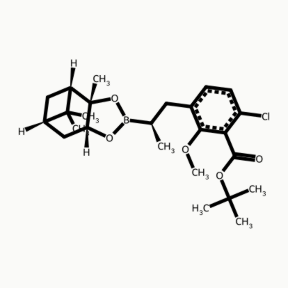 COc1c(C[C@@H](C)B2O[C@@H]3C[C@@H]4C[C@@H](C4(C)C)[C@]3(C)O2)ccc(Cl)c1C(=O)OC(C)(C)C